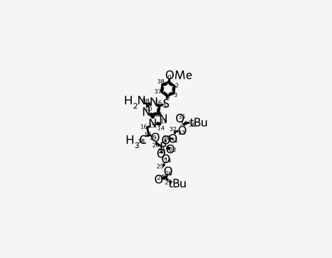 COc1ccc(Sc2nc(N)nc3c2ncn3CC(C)OCP(=O)(OOCOC(=O)C(C)(C)C)OOCOC(=O)C(C)(C)C)cc1